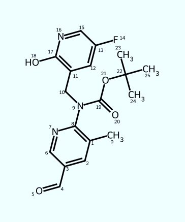 Cc1cc(C=O)cnc1N(Cc1cc(F)cnc1O)C(=O)OC(C)(C)C